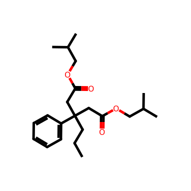 CCCC(CC(=O)OCC(C)C)(CC(=O)OCC(C)C)c1ccccc1